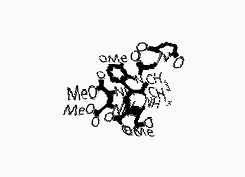 CCC(=O)C1=C(C(=O)OC)C2(NC(C(=O)OC)=C(C(=O)OC)N2)C2=C(N1)C(C)(C)N(C(=O)CN1C(=O)CCC1=O)c1c(OC)cccc12